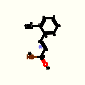 CC(C)(C)c1ccccc1/C=C/C(=O)S